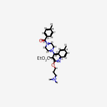 CCOC(=O)c1c(OCCCN(C)C)nc2ccc(C)cc2c1N1CCN(C(=O)c2ccc(C)cc2)CC1